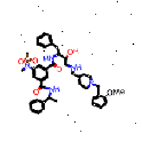 COc1ccccc1CN1CCC(CNCC(O)C(Cc2ccccc2)NC(=O)c2cc(C(=O)NC(C)c3ccccc3)cc(N(C)S(C)(=O)=O)c2)CC1